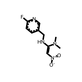 CN(C)C(=C[N+](=O)[O-])NCc1ccc(F)nc1